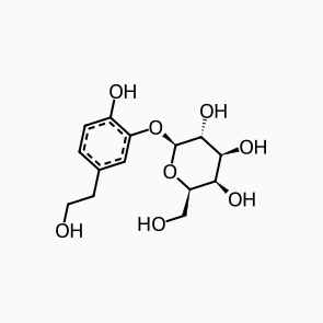 OCCc1ccc(O)c(O[C@@H]2O[C@H](CO)[C@H](O)[C@H](O)[C@H]2O)c1